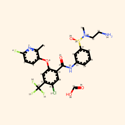 Cc1nc(F)ccc1Oc1cc(C(F)(F)F)c(Cl)cc1C(=O)Nc1cccc([S@@+]([O-])N(C)CCN)c1.O=CO